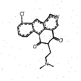 CN(C)CCC1C(=O)c2cncc3cc4c(Cl)cccc4c(c23)C1=O